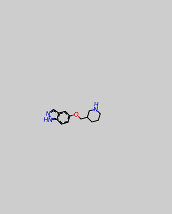 c1cc2[nH]ncc2cc1OCC1CCCNC1